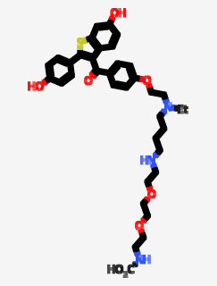 CCN(CCCCNCCOCCOCCNC(=O)O)CCOc1ccc(C(=O)c2c(-c3ccc(O)cc3)sc3cc(O)ccc23)cc1